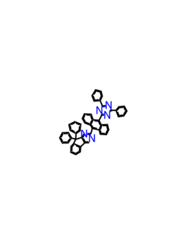 c1ccc(-c2nc(-c3ccccc3)nc(-c3c4ccccc4c(-c4ncc5c(n4)C(c4ccccc4)(c4ccccc4)c4ccccc4-5)c4ccccc34)n2)cc1